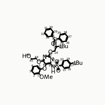 COc1ccccc1Oc1c(NS(=O)(=O)c2ccc(C(C)(C)C)cc2)nc(OCC(O[SiH](c2ccccc2)c2ccccc2)C(C)(C)C)nc1OCCO